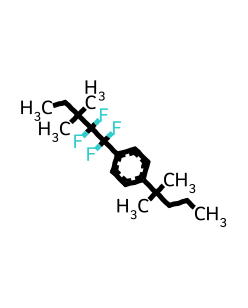 CCCC(C)(C)c1ccc(C(F)(F)C(F)(F)C(C)(C)CC)cc1